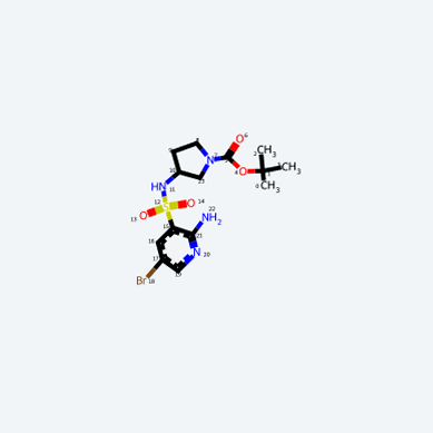 CC(C)(C)OC(=O)N1CCC(NS(=O)(=O)c2cc(Br)cnc2N)C1